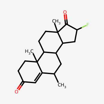 CC1CC2C3CC(F)C(=O)C3(C)CCC2C2(C)CCC(=O)C=C12